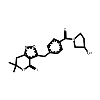 CC1(C)Cc2noc(Cc3ccc(C(=O)N4CCC(O)C4)cc3)c2C(=O)O1